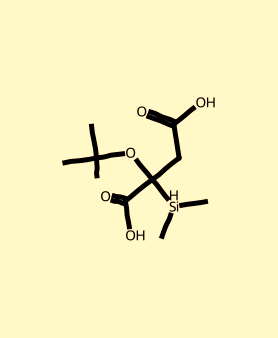 C[SiH](C)C(CC(=O)O)(OC(C)(C)C)C(=O)O